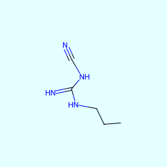 CCCNC(=N)NC#N